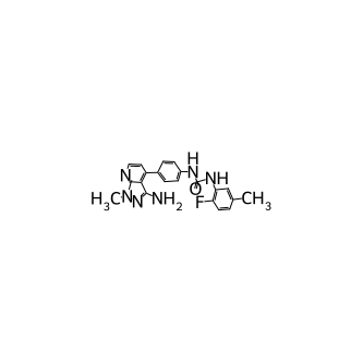 Cc1ccc(F)c(NC(=O)Nc2ccc(-c3ccnc4c3c(N)nn4C)cc2)c1